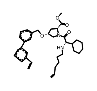 C=CCCCCN[C@H](C(=O)N1C[C@H](OCc2cccc(-c3cccc(C=C)c3)c2)C[C@H]1C(=O)OC)C1CCCCC1